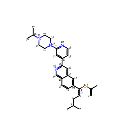 C=C(C)S/C(=C/CC(C)C)c1ccc2cnc(-c3ccnc(N4CCN(C(C)C)CC4)c3)cc2c1